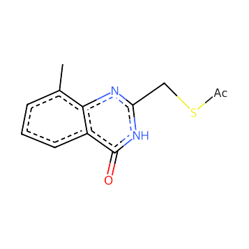 CC(=O)SCc1nc2c(C)cccc2c(=O)[nH]1